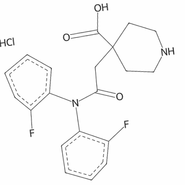 Cl.O=C(CC1(C(=O)O)CCNCC1)N(c1ccccc1F)c1ccccc1F